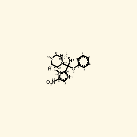 C=NC(Oc1ccccc1)(c1ncc([N+](=O)[O-])n1C)N1CCSCC1